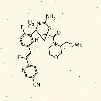 COCC1COCCN1C(=O)[C@]12C[C@H]1[C@@](C)(c1cc(/C=C(\F)c3ccc(C#N)cn3)ccc1F)N=C(N)S2